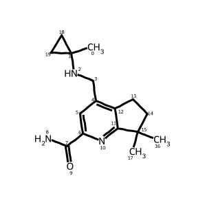 CC1(NCc2cc(C(N)=O)nc3c2CCC3(C)C)CC1